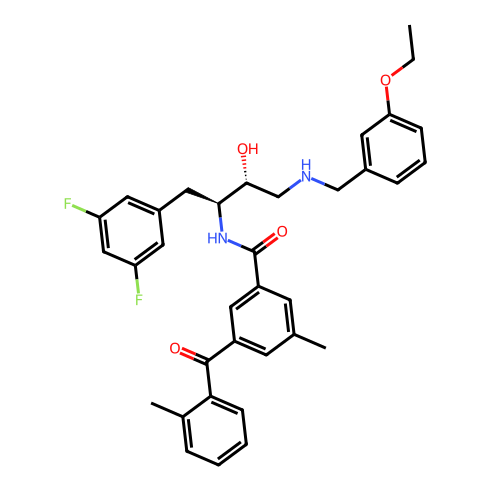 CCOc1cccc(CNC[C@@H](O)[C@H](Cc2cc(F)cc(F)c2)NC(=O)c2cc(C)cc(C(=O)c3ccccc3C)c2)c1